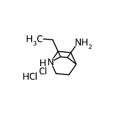 CCC1C(N)C2CCN1CC2.Cl.Cl